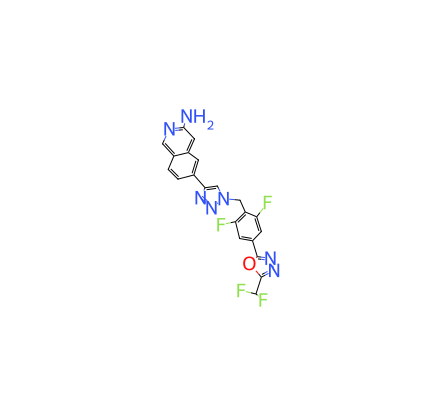 Nc1cc2cc(-c3cn(Cc4c(F)cc(-c5nnc(C(F)F)o5)cc4F)nn3)ccc2cn1